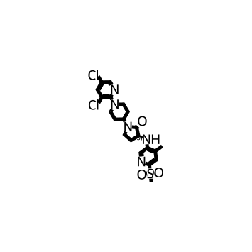 Cc1cc(S(C)(=O)=O)ncc1N[C@H]1CCN(C2CCN(c3ncc(Cl)cc3Cl)CC2)C1=O